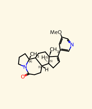 COc1cncc(C2=CC[C@H]3[C@@H]4CCC(=O)N5CCC[C@]5(C)C4CC[C@]23C)c1